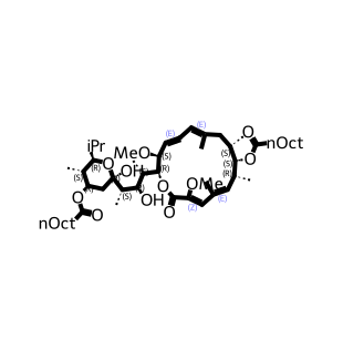 CCCCCCCCC(=O)O[C@@H]1[C@H](C)/C=C(C)/C=C(\OC)C(=O)O[C@H]([C@@H](C)[C@@H](O)[C@H](C)[C@@]2(O)C[C@@H](OC(=O)CCCCCCCC)[C@H](C)[C@@H](C(C)C)O2)[C@@H](OC)/C=C/C=C(\C)C[C@@H]1C